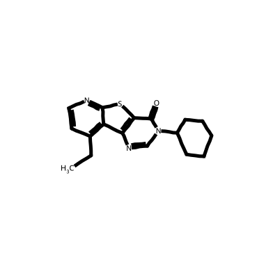 CCc1ccnc2sc3c(=O)n(C4CCCCC4)cnc3c12